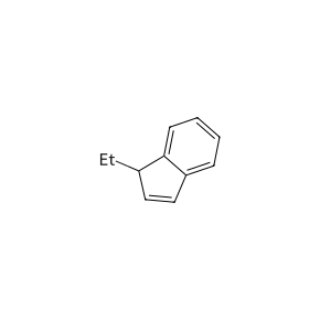 CCC1C=Cc2ccccc21